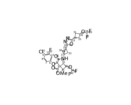 COC(=O)C1(C(Oc2ccc(Cl)c(F)c2)C(=O)NC23CC(c4nnc(C5CC(OC(F)F)C5)o4)(C2)C3)CC(OC(F)F)C1